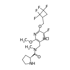 COc1nc(OCC2CC(F)(F)C2(F)F)c(F)cc1CN(C)C(=O)[C@@H]1CCCN1.Cl